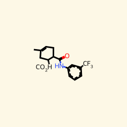 CC1=CCC(C(=O)Nc2cccc(C(F)(F)F)c2)C(C(=O)O)C1